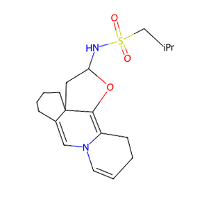 CC(C)CS(=O)(=O)NC1CC23CCCCC2=CN2C=CCCC2=C3O1